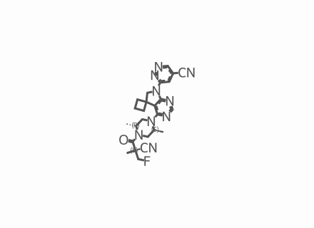 C[C@@H]1CN(c2ncnc3c2C2(CCC2)CN3c2cc(C#N)cnn2)[C@@H](C)CN1C(=O)[C@](C)(C#N)CF